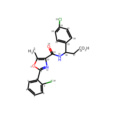 Cc1oc(-c2ccccc2F)nc1C(=O)NC(CC(=O)O)c1ccc(Cl)cc1